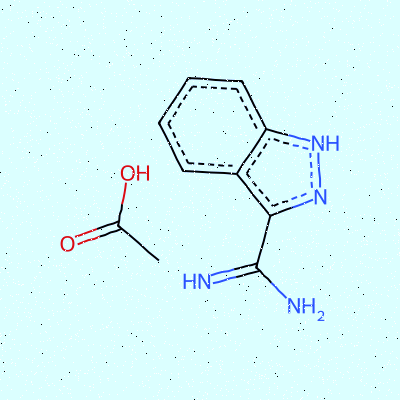 CC(=O)O.N=C(N)c1n[nH]c2ccccc12